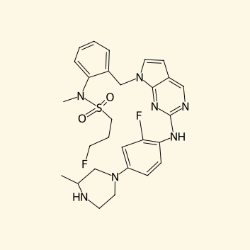 CC1CN(c2ccc(Nc3ncc4ccn(Cc5ccccc5N(C)S(=O)(=O)CCCF)c4n3)c(F)c2)CCN1